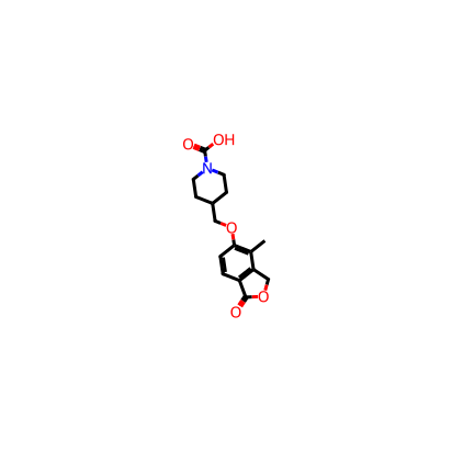 Cc1c(OCC2CCN(C(=O)O)CC2)ccc2c1COC2=O